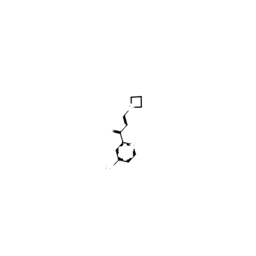 O=C(C=CN1CCC1)c1cc(Br)ccn1